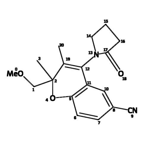 COCC1(C)Oc2ccc(C#N)cc2C(N2CCCC2=O)=C1C